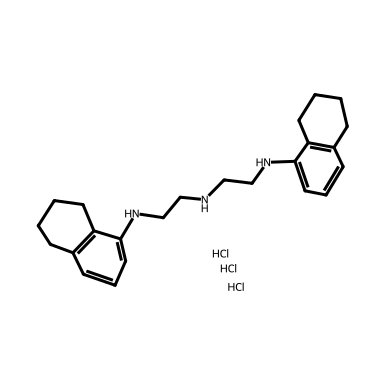 Cl.Cl.Cl.c1cc2c(c(NCCNCCNc3cccc4c3CCCC4)c1)CCCC2